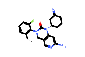 Cc1cccc(F)c1N1Cc2cnc(N)cc2N([C@H]2CCCC(=N)C2)C1=O